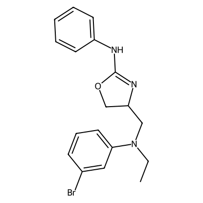 CCN(CC1COC(Nc2ccccc2)=N1)c1cccc(Br)c1